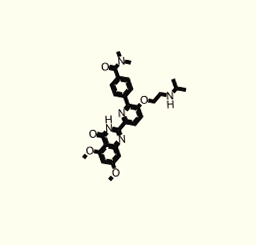 COc1cc(OC)c2c(=O)[nH]c(-c3ccc(OCCNC(C)C)c(-c4ccc(C(=O)N(C)C)cc4)n3)nc2c1